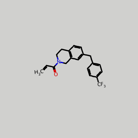 C=CC(=O)N1CCc2ccc(Cc3ccc(C(F)(F)F)cc3)cc2C1